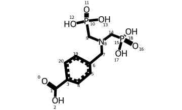 O=C(O)c1ccc(CN(CP(=O)(O)O)CP(=O)(O)O)cc1